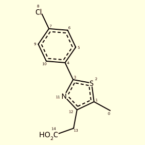 Cc1sc(-c2ccc(Cl)cc2)nc1CC(=O)O